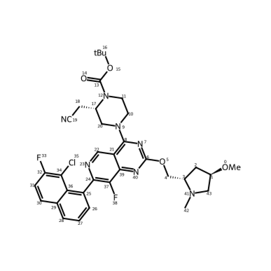 CO[C@@H]1C[C@@H](COc2nc(N3CCN(C(=O)OC(C)(C)C)[C@@H](CC#N)C3)c3cnc(-c4cccc5ccc(F)c(Cl)c45)c(F)c3n2)N(C)C1